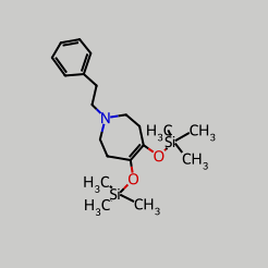 C[Si](C)(C)OC1=C(O[Si](C)(C)C)CCN(CCc2ccccc2)CC1